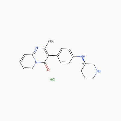 CCCCc1nc2ccccn2c(=O)c1-c1ccc(N[C@@H]2CCCNC2)cc1.Cl